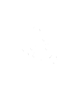 Cn1c([N+](=O)[O-])cnc1COP(=O)(N(CCCl)Cc1ccccc1)N(CCCl)Cc1ccccc1